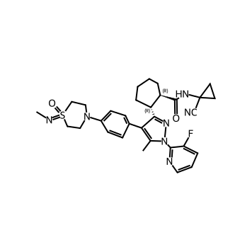 CN=S1(=O)CCN(c2ccc(-c3c([C@@H]4CCCC[C@H]4C(=O)NC4(C#N)CC4)nn(-c4ncccc4F)c3C)cc2)CC1